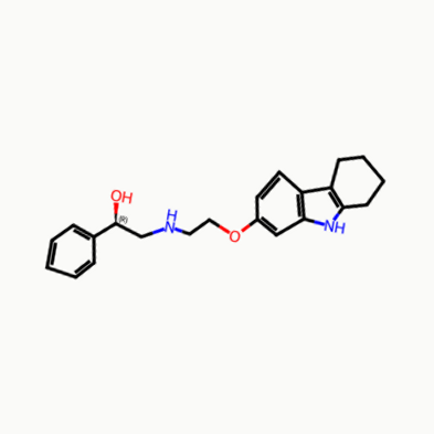 O[C@@H](CNCCOc1ccc2c3c([nH]c2c1)CCCC3)c1ccccc1